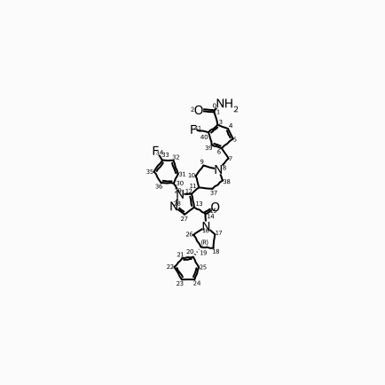 NC(=O)c1ccc(CN2CCC(c3c(C(=O)N4CC[C@H](c5ccccc5)C4)cnn3-c3ccc(F)cc3)CC2)cc1F